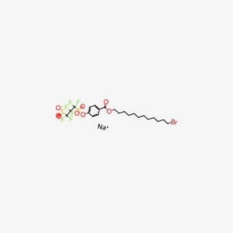 O=C(OCCCCCCCCCCCCBr)c1ccc(OS(=O)(=O)C(F)(F)C(F)(F)C(F)(F)S(=O)(=O)[O-])cc1.[Na+]